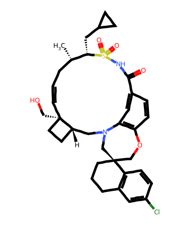 C[C@H]1C/C=C\[C@]2(CO)CC[C@H]2CN2C[C@@]3(CCCc4cc(Cl)ccc43)COc3ccc(cc32)C(=O)NS(=O)(=O)[C@H]1CC1CC1